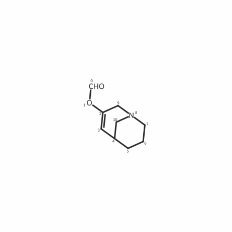 O=COC1=CC2CCCN(C1)C2